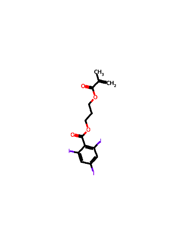 C=C(C)C(=O)OCCCOC(=O)c1c(I)cc(I)cc1I